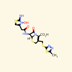 Cc1nnc(SCC2=C(C(=O)O)N3C(=O)C(NC(=O)Cc4csc(=N)n4O)[C@@H]3SC2)s1